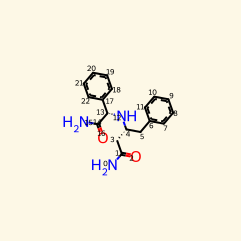 NC(=O)C[C@@H](Cc1ccccc1)N[C@H](C(N)=O)c1ccccc1